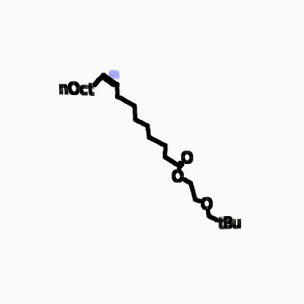 CCCCCCCC/C=C\CCCCCCCC(=O)OCCOCC(C)(C)C